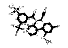 COc1cc(F)ccc1-c1ccncc1N(CC#N)C(=O)c1cc(C(F)(F)F)cc(S(C)(=O)=O)c1